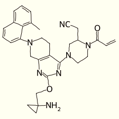 C=CC(=O)N1CCN(c2nc(OCC3(N)CC3)nc3c2CCN(c2cccc4cccc(C)c24)C3)CC1CC#N